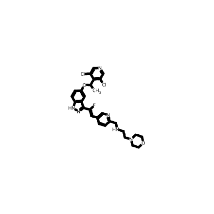 CC(Oc1ccc2[nH]nc(/C(F)=C/c3ccc(CNCCN4CCOCC4)nc3)c2c1)c1c(Cl)cncc1Cl